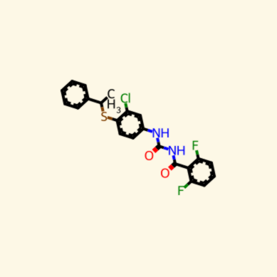 CC(Sc1ccc(NC(=O)NC(=O)c2c(F)cccc2F)cc1Cl)c1ccccc1